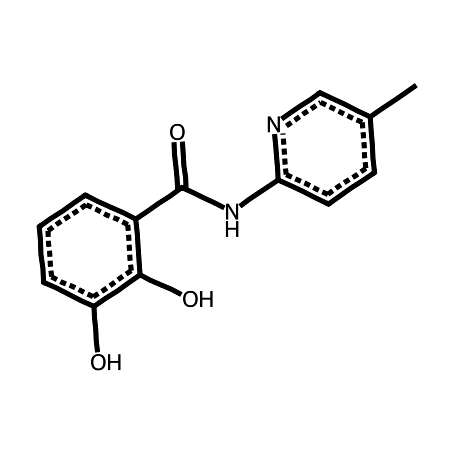 Cc1ccc(NC(=O)c2cccc(O)c2O)nc1